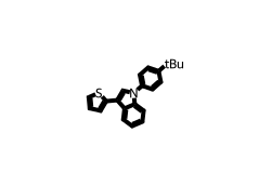 CC(C)(C)c1ccc(-n2cc(-c3cccs3)c3ccccc32)cc1